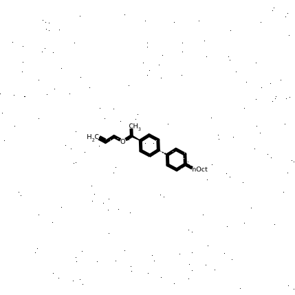 C=CCOC(C)[C@H]1CC[C@H](C2CCC(CCCCCCCC)CC2)CC1